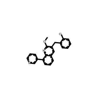 COc1nc2c(-c3cccnc3)cccc2cc1Cc1ccccc1Cl